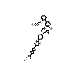 COCOc1ccccc1-c1cc2c(nn1)NC[C@H]1CN(C3CCN(c4ncc(C5CC6(CC(C(=O)OC)C6)C5)cn4)CC3)CCN21